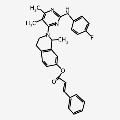 Cc1nc(Nc2ccc(F)cc2)nc(N2CCc3ccc(OC(=O)C=Cc4ccccc4)cc3C2C)c1C